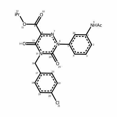 CC(=O)Nc1cccc(-n2nc(C(=O)OC(C)C)c(=O)n(Cc3ccc(Cl)cc3)c2=O)c1